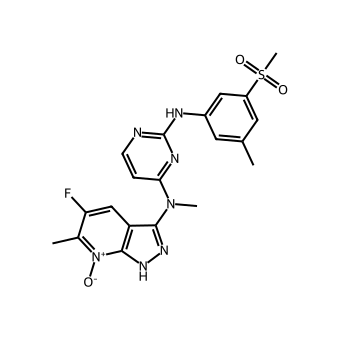 Cc1cc(Nc2nccc(N(C)c3n[nH]c4c3cc(F)c(C)[n+]4[O-])n2)cc(S(C)(=O)=O)c1